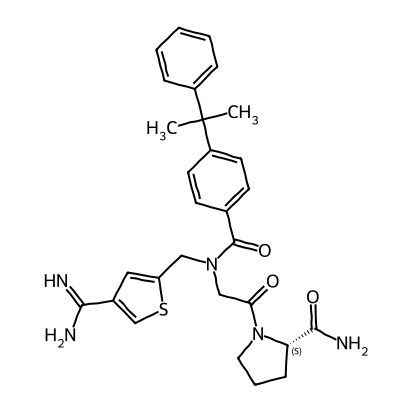 CC(C)(c1ccccc1)c1ccc(C(=O)N(CC(=O)N2CCC[C@H]2C(N)=O)Cc2cc(C(=N)N)cs2)cc1